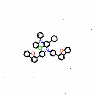 Clc1c(N(c2ccccc2)c2ccccc2)cc(C2CCCCC2)cc1N(c1ccc(-c2cccc3c2oc2ccccc23)cc1)c1ccc(-c2cccc3c2oc2ccccc23)cc1